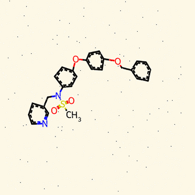 CS(=O)(=O)N(Cc1cccnc1)c1ccc(Oc2ccc(OCc3ccccc3)cc2)cc1